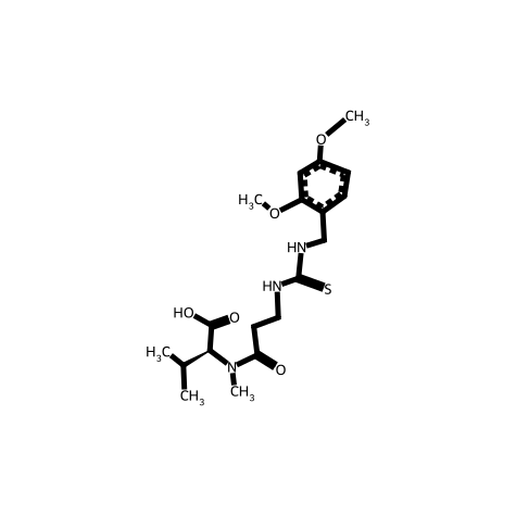 COc1ccc(CNC(=S)NCCC(=O)N(C)[C@H](C(=O)O)C(C)C)c(OC)c1